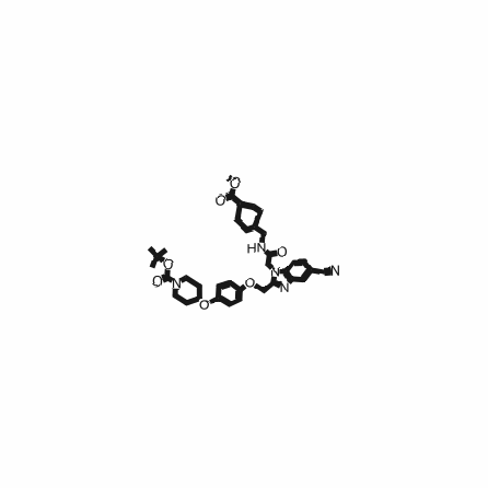 COC(=O)C1CCC(CNC(=O)Cn2c(COc3ccc(OC4CCN(C(=O)OC(C)(C)C)CC4)cc3)nc3cc(C#N)ccc32)CC1